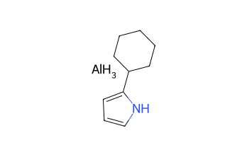 [AlH3].c1c[nH]c(C2CCCCC2)c1